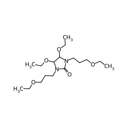 CCOCCCN1C(=O)N(CCCOCC)C(OCC)C1OCC